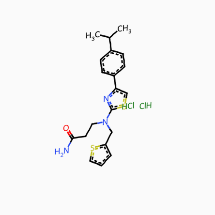 CC(C)c1ccc(-c2csc(N(CCC(N)=O)Cc3cccs3)n2)cc1.Cl.Cl